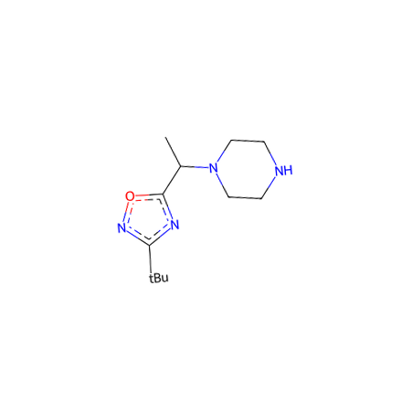 CC(c1nc(C(C)(C)C)no1)N1CCNCC1